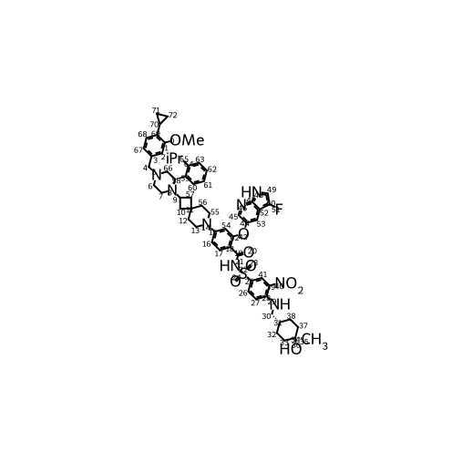 COc1cc(CN2CCN(C3CC4(CCN(c5ccc(C(=O)NS(=O)(=O)c6ccc(NC[C@H]7CC[C@](C)(O)CC7)c([N+](=O)[O-])c6)c(Oc6cnc7[nH]cc(F)c7c6)c5)CC4)C3)[C@H](c3ccccc3C(C)C)C2)ccc1C1CC1